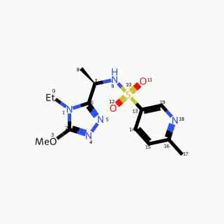 CCn1c(OC)nnc1[C@@H](C)NS(=O)(=O)c1ccc(C)nc1